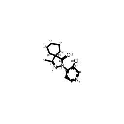 CC1=NN(c2ccncc2Cl)C(=O)C12CCCCC2